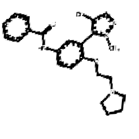 Cn1ncc(Br)c1-c1cc(NC(=O)c2ccccc2)ccc1OCCN1CCCC1